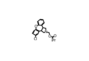 CC(C)C(=O)OCN1CC2c3ccccc3Oc3ccc(Cl)cc3C2C1